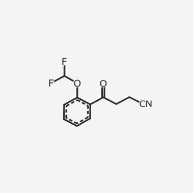 N#CCCC(=O)c1ccccc1OC(F)F